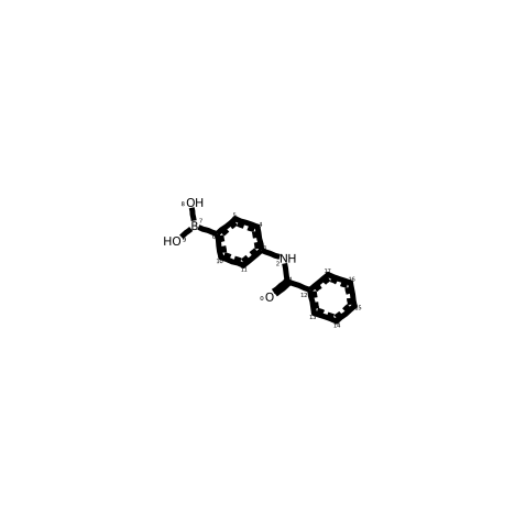 O=C(Nc1ccc(B(O)O)cc1)c1ccccc1